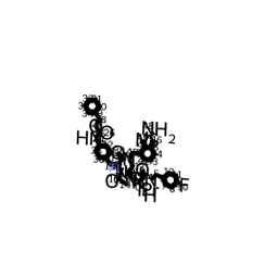 CC(C)N(C(=O)NCc1ccc(F)cc1)N1CC(=O)N2/C(=C/c3ccc(NC(=O)OCc4ccccc4)cc3)C(=O)N(Cc3cccc4sc(N)nc34)C[C@@H]21